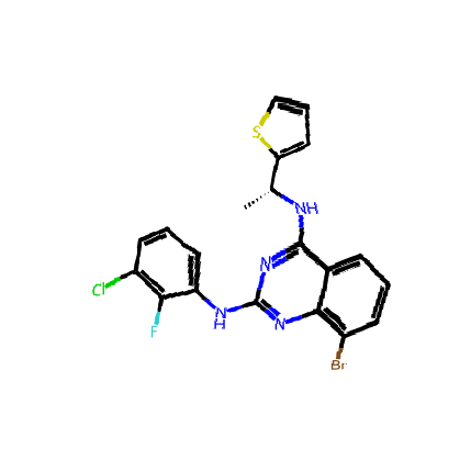 C[C@@H](Nc1nc(Nc2cccc(Cl)c2F)nc2c(Br)cccc12)c1cccs1